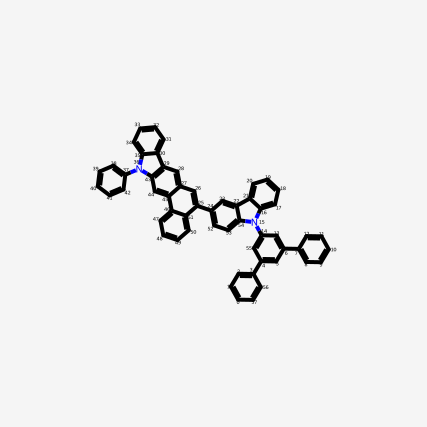 c1ccc(-c2cc(-c3ccccc3)cc(-n3c4ccccc4c4cc(-c5cc6cc7c8ccccc8n(-c8ccccc8)c7cc6c6ccccc56)ccc43)c2)cc1